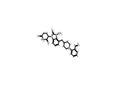 Cn1c(=O)n(C2CCC(=O)NC2=O)c2cccc(CC3CCN(c4ccccc4C=O)CC3)c21